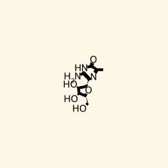 Cc1nc([C@@H]2O[C@H](CO)[C@@H](O)[C@H]2O)c(N)[nH]c1=O